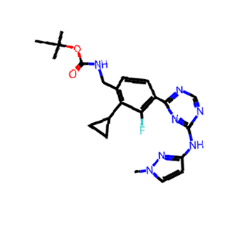 Cn1ccc(Nc2ncnc(-c3ccc(CNC(=O)OC(C)(C)C)c(C4CC4)c3F)n2)n1